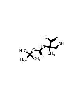 CC(C)(C)OC(=O)N[C@@](C)(CS)C(=O)O